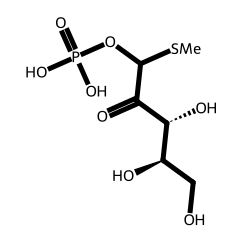 CSC(OP(=O)(O)O)C(=O)[C@H](O)[C@H](O)CO